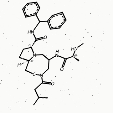 CN[C@@H](C)C(=O)NC1CN(C(=O)CC(C)C)CC[C@H]2CC[C@@H](C(=O)NC(c3ccccc3)c3ccccc3)N2C1